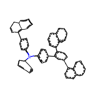 C1=CCC(N(c2ccc(C3=C4C=CC=CC4CC=C3)cc2)c2ccc(-c3cc(-c4cccc5ccccc45)ccc3-c3cccc4ccccc34)cc2)C=C1